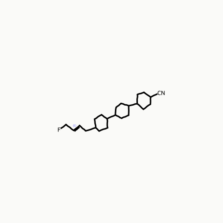 N#CC1CCC(C2CCC(C3CCC(C/C=C/CF)CC3)CC2)CC1